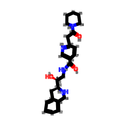 O=C(NC[C@@H](O)[C@@H]1Cc2ccccc2CN1)c1ccc(CC(=O)N2CCCCC2)nc1